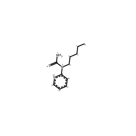 CCCCCN(C(N)=S)c1ccccn1